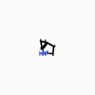 C1CC2=C(C2)N1